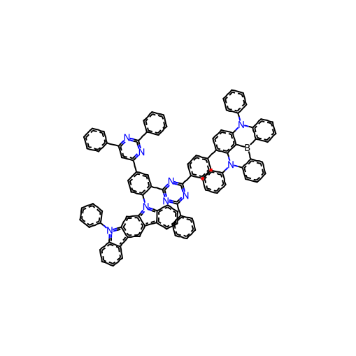 c1ccc(-c2cc(-c3ccc(-n4c5ccccc5c5cc6c7ccccc7n(-c7ccccc7)c6cc54)c(-c4nc(-c5ccccc5)nc(-c5ccc(-c6ccc7c8c6N(c6ccccc6)c6ccccc6B8c6ccccc6N7c6ccccc6)cc5)n4)c3)nc(-c3ccccc3)n2)cc1